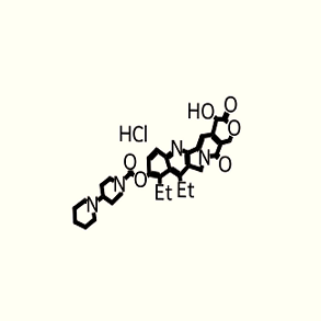 CCc1c(OC(=O)N2CCC(N3CCCCC3)CC2)ccc2nc3c(c(CC)c12)Cn1c-3cc2c(c1=O)COC(=O)C2O.Cl